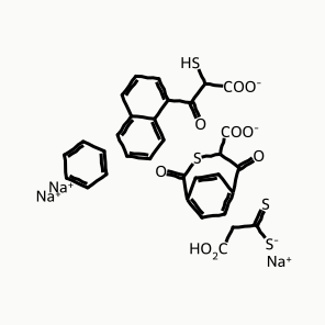 O=C(O)CC(=S)[S-].O=C([O-])C(S)C(=O)c1cccc2ccccc12.O=C1SC(C(=O)[O-])C(=O)c2ccc1cc2.[Na+].[Na+].[Na+].c1ccccc1